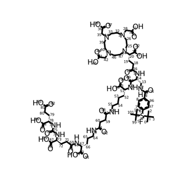 CC(C)(C)S(F)(c1ccc(C(=O)NC[C@@H](NC(=O)CC[C@@H](C(=O)O)N2CCN(CC(=O)O)CCN(CC(=O)O)CCN(CC(=O)O)CC2)C(=O)N[C@H](CCCCNC(=O)CCC(=O)NCCC[C@@H](NC(=O)CC[C@H](NC(=O)N[C@@H](CCC(=O)O)C(=O)O)C(=O)O)C(=O)O)C(=O)O)cc1)C(C)(C)C